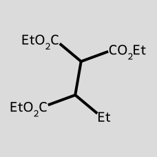 CCOC(=O)C(CC)C(C(=O)OCC)C(=O)OCC